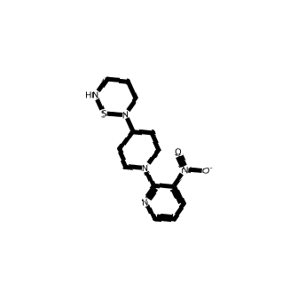 O=[N+]([O-])c1cccnc1N1CCC(N2CCCNS2)CC1